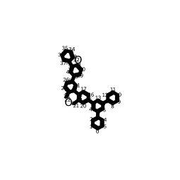 c1ccc(-c2cc(-c3ccccc3)cc(-c3ccc4c(c3)COCc3ccc(-c5ccc6oc7ccccc7c6c5)cc3-4)c2)cc1